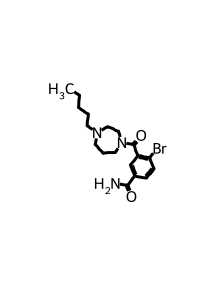 CCCCCN1CCCN(C(=O)c2cc(C(N)=O)ccc2Br)CC1